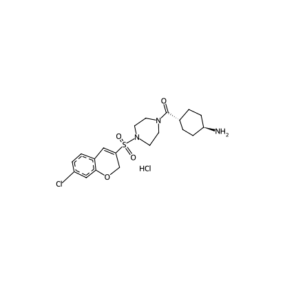 Cl.N[C@H]1CC[C@H](C(=O)N2CCN(S(=O)(=O)C3=Cc4ccc(Cl)cc4OC3)CC2)CC1